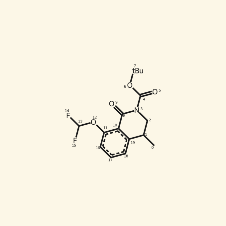 CC1CN(C(=O)OC(C)(C)C)C(=O)c2c(OC(F)F)cccc21